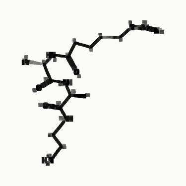 CC(C)[C@H](NC(=O)CCCCN=[N+]=[N-])C(=O)N[C@@H](C)C(=O)NCCN